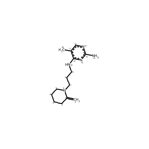 C=C1CCCCN1CCCNc1nc(N)ncc1C